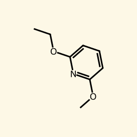 CCOc1cccc(OC)n1